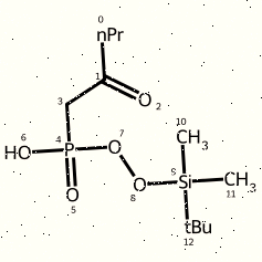 CCCC(=O)CP(=O)(O)OO[Si](C)(C)C(C)(C)C